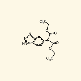 O=C(OCC(Cl)(Cl)Cl)N(C(=O)OCC(Cl)(Cl)Cl)c1ccc2[nH]nnc2c1